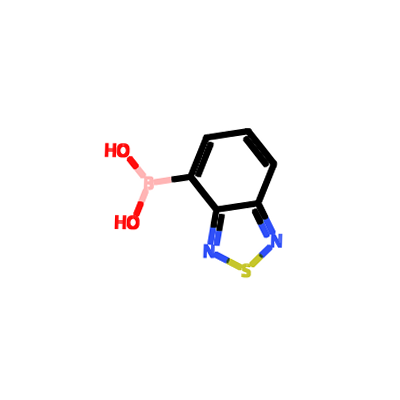 OB(O)c1cccc2nsnc12